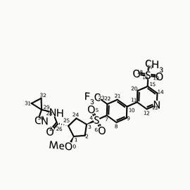 CO[C@@H]1C[C@H](S(=O)(=O)c2ccc(-c3cncc(S(C)(=O)=O)c3)cc2C(F)(F)F)C[C@H]1C(=O)NC1(C#N)CC1